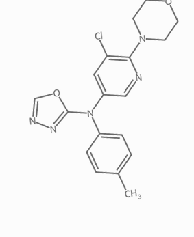 Cc1ccc(N(c2cnc(N3CCOCC3)c(Cl)c2)c2nnco2)cc1